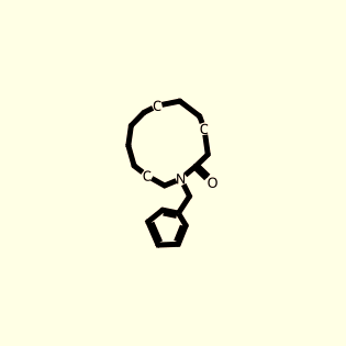 O=C1CCCCCCCCCCCN1Cc1ccccc1